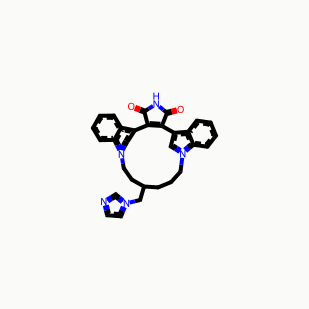 O=C1NC(=O)C2=C1c1cn(c3ccccc13)CCCC(Cn1ccnc1)CCn1cc2c2ccccc21